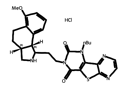 CCCCn1c(=O)n(CCC2NC[C@@H]3CCc4c(OC)cccc4[C@H]23)c(=O)c2sc3nccnc3c21.Cl